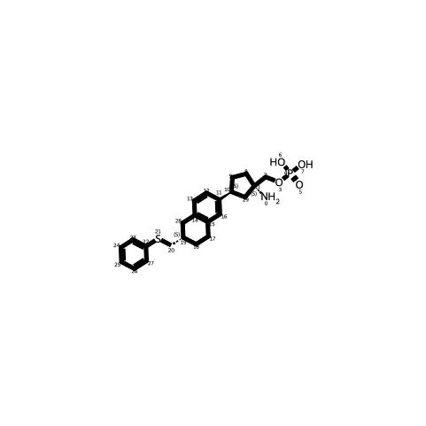 N[C@@]1(COP(=O)(O)O)CC[C@H](c2ccc3c(c2)CC[C@H](CSc2ccccc2)C3)C1